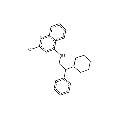 Clc1nc(NCC(c2ccccc2)N2CCCCC2)c2ccccc2n1